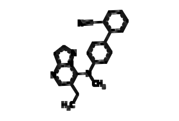 CCc1cnc2ccnn2c1N(C)c1ccc(-c2ccccc2C#N)cc1